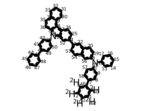 [2H]c1c([2H])c([2H])c(-c2ccc(N(c3ccccc3)c3ccc4cc(-c5ccc6c7c8ccccc8ccc7n(-c7ccc(-c8ccccc8)cc7)c6c5)ccc4c3)cc2)c([2H])c1[2H]